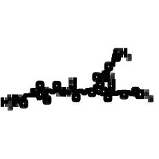 CNC(=O)CCSC1CC(=O)N(CCC(=O)NCCNC(=O)CCCOC(COC(=O)NCCOCCOC)COC(=O)NCCOCCOC)C1=O